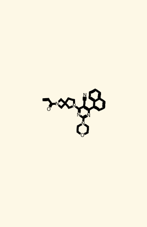 C=CC(=O)N1CC2(CCN(c3nc(N4CCOCC4)nc(-c4cccc5ccccc45)c3C#N)C2)C1